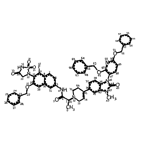 C[C@@H](C(=O)Nc1ccc2c(F)c(N3CC(=O)NS3(=O)=O)c(OCc3ccccc3)cc2c1)N1CC=C(c2ccc3c(c2)n(C)c(=O)n3-c2ccc(OCc3ccccc3)nc2OCc2ccccc2)CC1